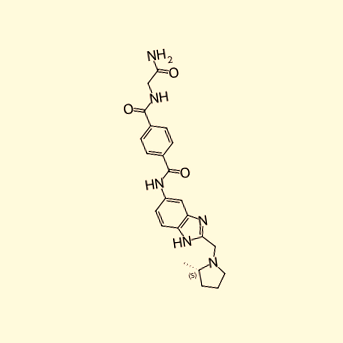 C[C@H]1CCCN1Cc1nc2cc(NC(=O)c3ccc(C(=O)NCC(N)=O)cc3)ccc2[nH]1